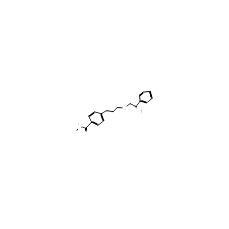 CNC(=O)c1ccc(CCCNC[C@H](O)c2ccccc2)cc1